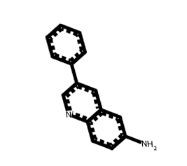 Nc1ccc2ncc(-c3ccccc3)cc2c1